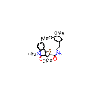 CCCCn1c(=O)c2c(OC)c(C(=O)N(C)CCc3ccc(OC)c(OC)c3)sc2c2ccccc21